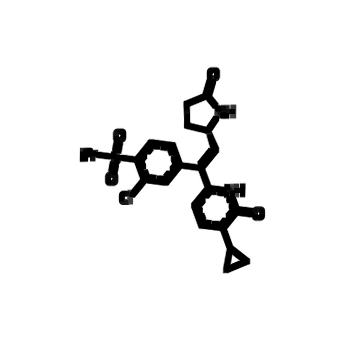 CC(C)S(=O)(=O)c1ccc(/C(=C\[C@H]2CCC(=O)N2)c2ccc(C3CC3)c(=O)[nH]2)cc1Cl